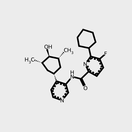 C[C@@H]1C[C@H](c2ccncc2NC(=O)c2ccc(F)c(C3CCCCC3)n2)C[C@H](C)[C@H]1O